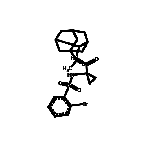 CC(=O)C12CC3CC(C1)C(NC(=O)C1(NS(=O)(=O)c4ccccc4Br)CC1)C(C3)C2